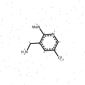 CNc1ncc(C(F)(F)F)cc1CN